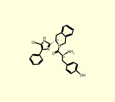 N[C@@H](Cc1ccc(O)cc1)C(=O)N1Cc2ccccc2C[C@H]1c1nc(-c2ccccc2)c(Cl)[nH]1